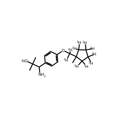 [2H]C([2H])(Oc1ccc(C(N)C(C)(C)O)cc1)C1(C)C([2H])([2H])C([2H])([2H])C([2H])([2H])C1([2H])[2H]